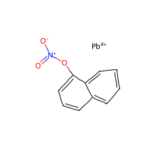 O=[N+]([O-])Oc1cccc2ccccc12.[Pb+4]